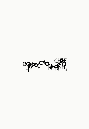 C[C@@H](Oc1cc(-c2cnn(C3CCC(CN4CCC(c5cc6c(cc5F)CN(C5CCC(=O)NC5=O)C6)CC4)CC3)c2)cnc1N)c1c(Cl)ccc(F)c1Cl